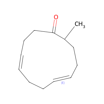 CC1CC/C=C/CCC=CCCC1=O